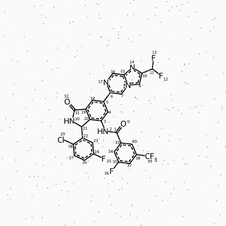 O=C(Nc1cc(-c2cn3cc(C(F)F)nc3cn2)cc2c1C(c1cc(F)ccc1Cl)NC2=O)c1cc(F)cc(C(F)(F)F)c1